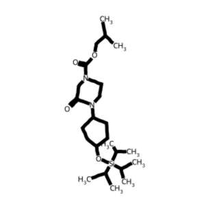 CC(C)COC(=O)N1CCN(C2CCC(O[Si](C(C)C)(C(C)C)C(C)C)CC2)C(=O)C1